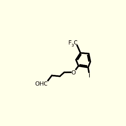 O=CCCCOc1cc(C(F)(F)F)ccc1I